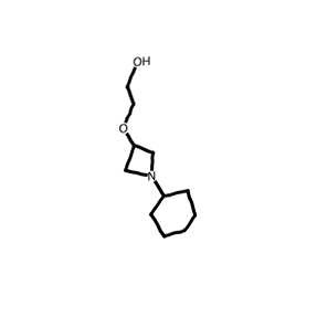 OCCOC1CN(C2CCCCC2)C1